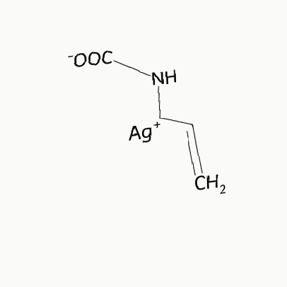 C=CCNC(=O)[O-].[Ag+]